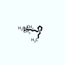 CCCC[N+]1(CCCCC[N+](C)(C)C)CCCC1